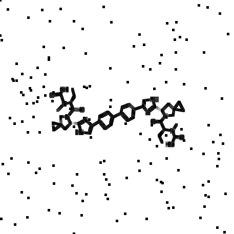 CC[C@@H](C(=O)N1CC2(CC2)C[C@H]1c1nc(-c2ccc(-c3ccc(-c4c[nH]c([C@@H]5CC6(CC6)CN5C(=O)[C@H](CC)N(C)C(=O)O)n4)cc3)cc2)c[nH]1)N(C)C(=O)O